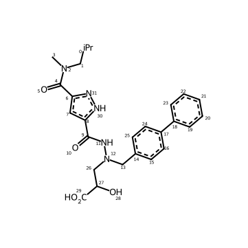 CC(C)CN(C)C(=O)c1cc(C(=O)NN(Cc2ccc(-c3ccccc3)cc2)CC(O)C(=O)O)[nH]n1